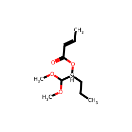 CC=CC(=O)O[SiH](CCC)C(OC)OC